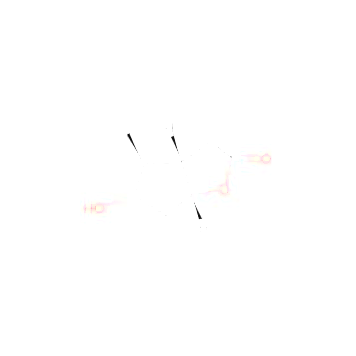 C[C@H]1[C@@H]2CC(=O)O[C@@H]2C[C@@H]1O